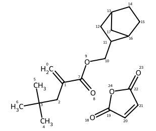 C=C(CC(C)(C)C)C(=O)OCC1CC2CCC1C2.O=C1C=CC(=O)O1